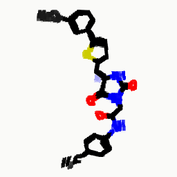 COc1cccc(-c2ccc(/C=C3\NC(=O)N(CC(=O)Nc4ccc(C)cc4)C3=O)s2)c1